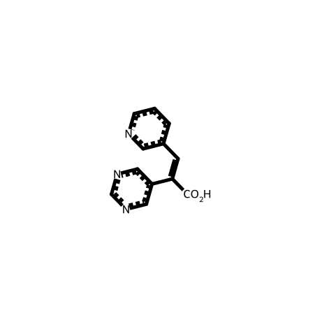 O=C(O)C(=Cc1cccnc1)c1cncnc1